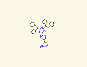 C1=CNCC(c2ccc(-c3nc(-c4cc5ccccc5c5ccccc45)nc(-c4cc5ccccc5c5ccccc45)n3)nc2)=C1